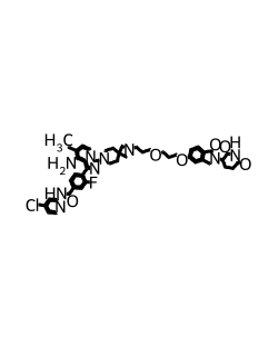 CCc1ccn2c(N3CCC4(CC3)CN(CCCOCCCOc3ccc5c(c3)CN(C3CCC(=O)NC3=O)C5=O)C4)nc(-c3ccc(C(=O)Nc4cc(Cl)ccn4)cc3F)c2c1N